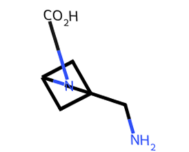 NCC12CC(C1)N(C(=O)O)C2